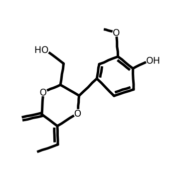 C=C1OC(CO)C(c2ccc(O)c(OC)c2)O/C1=C/C